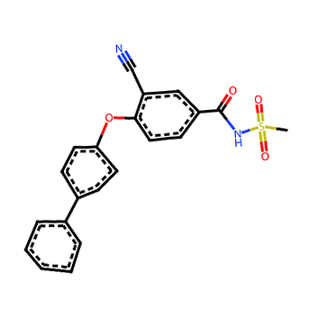 CS(=O)(=O)NC(=O)c1ccc(Oc2ccc(-c3ccccc3)cc2)c(C#N)c1